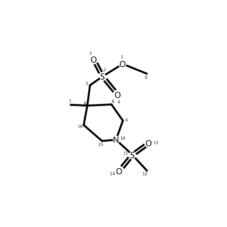 COS(=O)(=O)CC1(C)CCN(S(C)(=O)=O)CC1